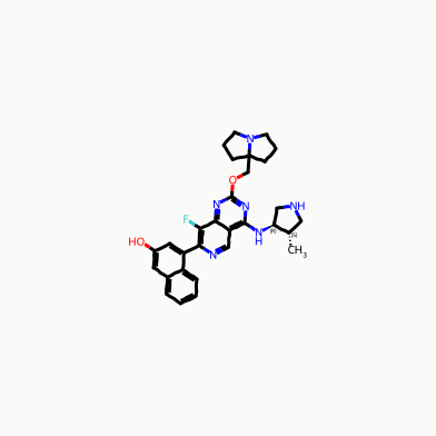 C[C@H]1CNC[C@@H]1Nc1nc(OCC23CCCN2CCC3)nc2c(F)c(-c3cc(O)cc4ccccc34)ncc12